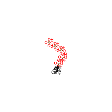 O=S(=O)(O)O.O=S(=O)(O)O.O=S(=O)(O)O.O=S(=O)(O)O.O=S(=O)(O)O.[AlH3].[AlH3].[CaH2].[CaH2].[O]